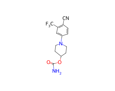 N#Cc1ccc(N2CCC(OC(N)=O)CC2)cc1C(F)(F)F